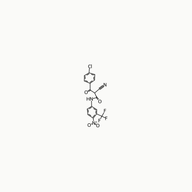 N#CC(C(=O)Nc1ccc([N+](=O)[O-])c(C(F)(F)F)c1)C(=O)c1ccc(Cl)cc1